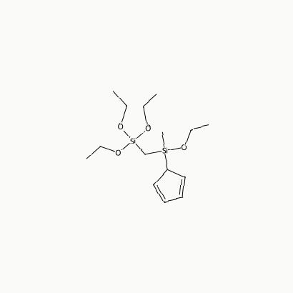 CCO[Si](C[Si](C)(OCC)C1C=CC=C1)(OCC)OCC